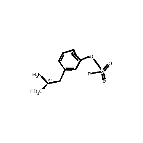 N[C@@H](Cc1cccc(OS(=O)(=O)F)c1)C(=O)O